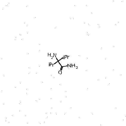 CC(C)C(N)(C(N)=O)C(C)C